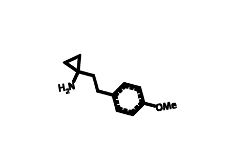 COc1ccc(CCC2(N)CC2)cc1